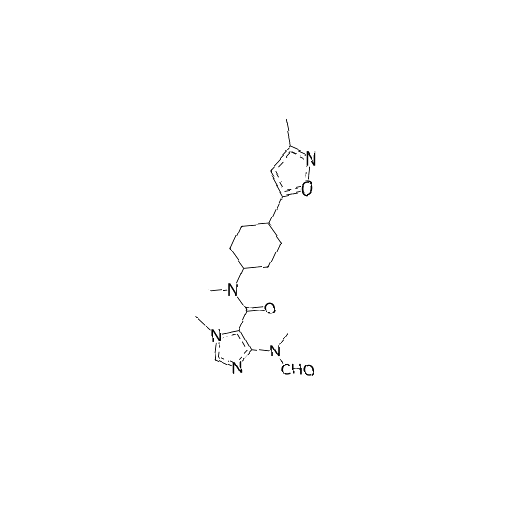 Cc1cc(C2CCC(N(C)C(=O)c3c(N(C)C=O)ncn3C)CC2)on1